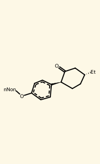 CCCCCCCCCOc1ccc([C@@H]2CC[C@@H](CC)CC2=O)cc1